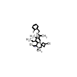 C=CC1=C2/C(=C\CC)N(C)CC3(CC(CC)C3)N2C=C(C(=C)NCc2ccccc2F)C1=C